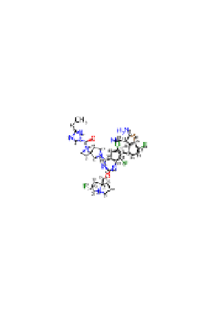 CCc1ncn(C(=O)N2CCC23CCN(c2nc(OC[C@@]45CCCN4C[C@H](F)C5)nc4c(F)c(-c5ccc(F)c6sc(N)c(C#N)c56)c(Cl)cc24)C3)n1